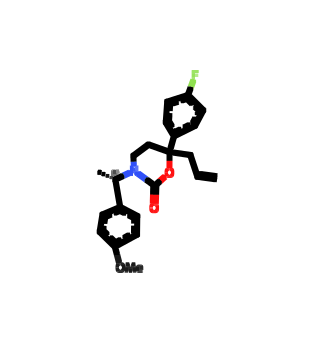 C=CCC1(c2ccc(F)cc2)CCN([C@@H](C)c2ccc(OC)cc2)C(=O)O1